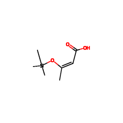 CC(=CC(=O)O)O[Si](C)(C)C